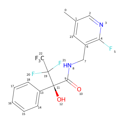 Cc1cnc(F)c(CNC(=O)[C@](O)(c2ccccc2)C(F)(F)C(F)(F)F)c1